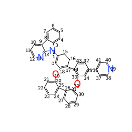 C1=C(n2c3ccccc3c3cccnc32)CCC2=C1Oc1ccccc1-c1ccccc1Oc1cc(-c3ccncc3)ccc12